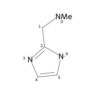 CNCC1=NC=C[N]1